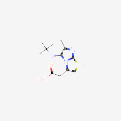 Cc1nc2scc(CC(=O)O)n2c1NC(C)(C)C